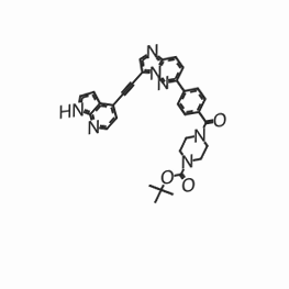 CC(C)(C)OC(=O)N1CCN(C(=O)c2ccc(-c3ccc4ncc(C#Cc5ccnc6[nH]ccc56)n4n3)cc2)CC1